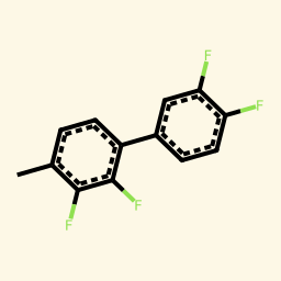 Cc1ccc(-c2ccc(F)c(F)c2)c(F)c1F